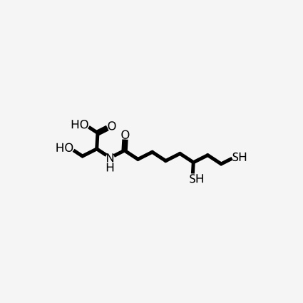 O=C(CCCCC(S)CCS)NC(CO)C(=O)O